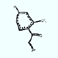 O=C(CBr)c1ccc(Cl)cc1C(F)(F)F